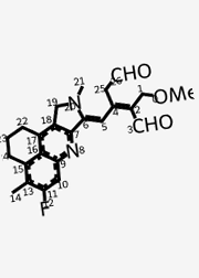 COC/C(C=O)=C(/C=C1/c2nc3cc(F)c(C)c4c3c(c2CN1C)CCC4)CC=O